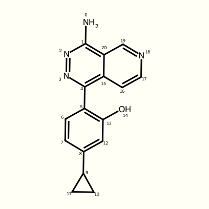 Nc1nnc(-c2ccc(C3CC3)cc2O)c2ccncc12